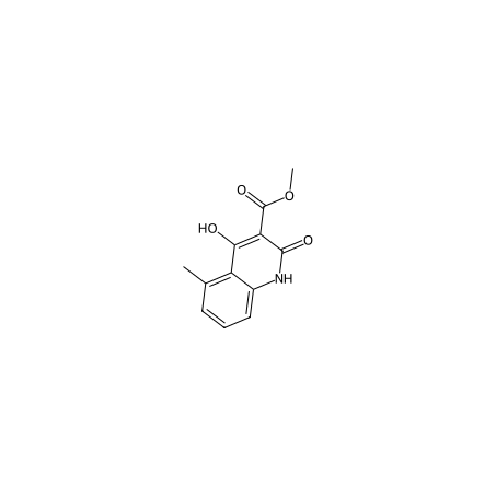 COC(=O)c1c(O)c2c(C)cccc2[nH]c1=O